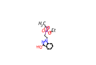 CCO[PH]1(CCn2nc(O)c3ccccc32)OC(C)O1